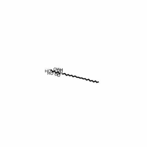 CCCCCCCCCCCCCCCCCCCCCCNC(=O)[C@H](O)[C@@H](O)[C@H](O)[C@H](O)CO